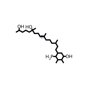 C/C(=C\CCC(C)(O)CCCC(C)O)CCCC(C)CCC1CC(O)C(C)C(C)C1P